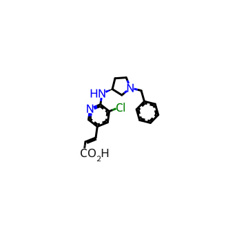 O=C(O)/C=C/c1cnc(N[C@H]2CCN(Cc3ccccc3)C2)c(Cl)c1